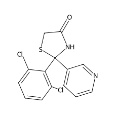 O=C1CSC(c2cccnc2)(c2c(Cl)cccc2Cl)N1